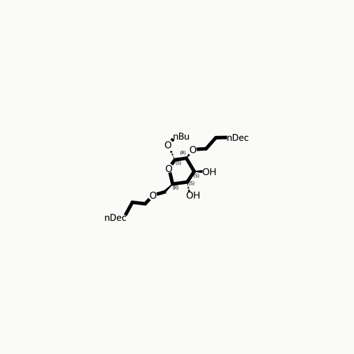 CCCCCCCCCCCCOC[C@H]1O[C@H](OCCCC)[C@H](OCCCCCCCCCCCC)[C@@H](O)[C@@H]1O